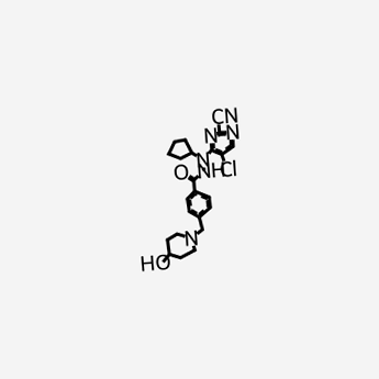 N#Cc1ncc(Cl)c(N(NC(=O)c2ccc(CN3CCC(O)CC3)cc2)C2CCCC2)n1